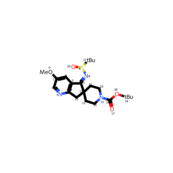 COc1cnc2c(c1)C(=N[S+]([O-])C(C)(C)C)C1(CCN(C(=O)OC(C)(C)C)CC1)C2